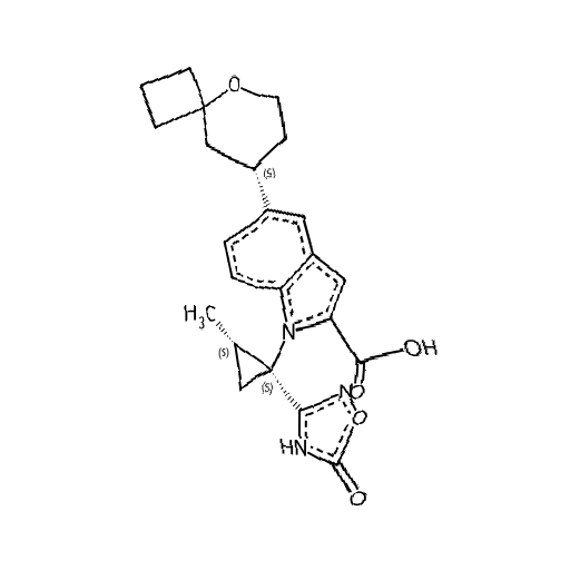 C[C@H]1C[C@]1(c1noc(=O)[nH]1)n1c(C(=O)O)cc2cc([C@H]3CCOC4(CCC4)C3)ccc21